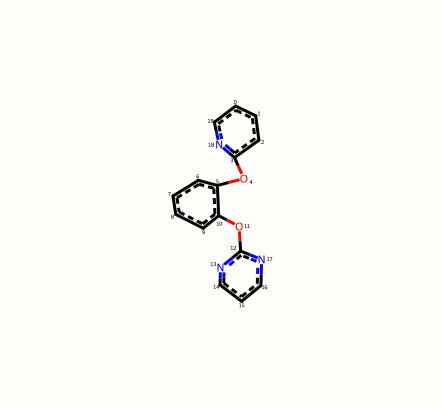 c1ccc(Oc2ccccc2Oc2ncccn2)nc1